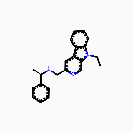 CCn1c2ccccc2c2cc(CN[C@H](C)c3ccccc3)ncc21